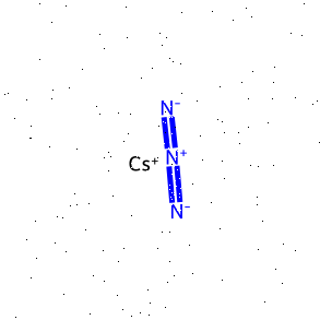 [Cs+].[N-]=[N+]=[N-]